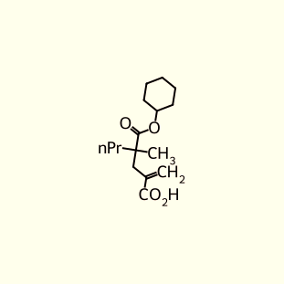 C=C(CC(C)(CCC)C(=O)OC1CCCCC1)C(=O)O